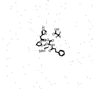 COC(=O)[C@@](CCSC)(NC(=O)CCc1ccccc1)OC[C@@H]1CCCN1C(=O)Cc1c[nH]cn1.O=C(O)C(F)(F)F